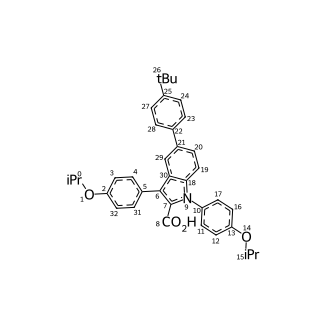 CC(C)Oc1ccc(-c2c(C(=O)O)n(-c3ccc(OC(C)C)cc3)c3ccc(-c4ccc(C(C)(C)C)cc4)cc23)cc1